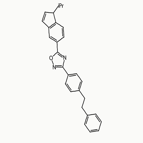 CC(C)C1C=Cc2cc(-c3nc(-c4ccc(CCc5ccccc5)cc4)no3)ccc21